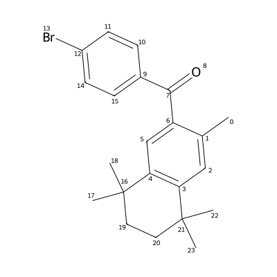 Cc1cc2c(cc1C(=O)c1ccc(Br)cc1)C(C)(C)CCC2(C)C